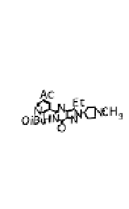 CCc1c2nc(-c3cc(C(C)=O)cnc3OCC(C)C)[nH]c(=O)c2nn1C1CCN(C)CC1